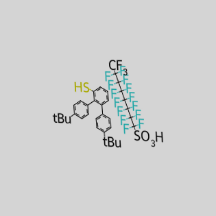 CC(C)(C)c1ccc(-c2cccc(S)c2-c2ccc(C(C)(C)C)cc2)cc1.O=S(=O)(O)C(F)(F)C(F)(F)C(F)(F)C(F)(F)C(F)(F)C(F)(F)C(F)(F)C(F)(F)F